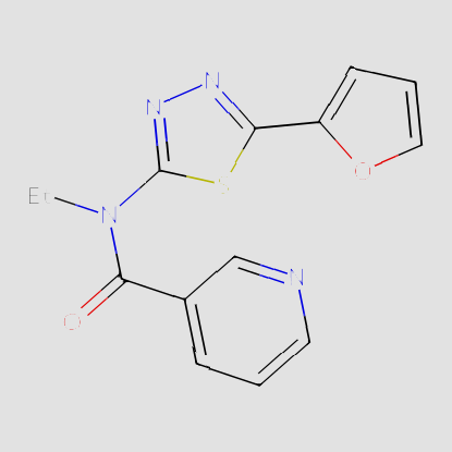 CCN(C(=O)c1cccnc1)c1nnc(-c2ccco2)s1